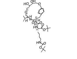 CC(C)[C@H]1COCC(O)C(O)COc2ccc(cc2)C[C@@H](NC(=O)N[C@@H](CCCCNC(=O)OC(C)(C)C)C(=O)OC(C)(C)C)C(=O)N1